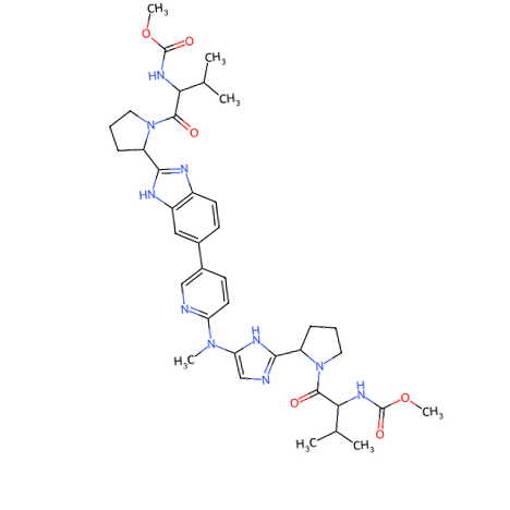 COC(=O)NC(C(=O)N1CCCC1c1ncc(N(C)c2ccc(-c3ccc4nc(C5CCCN5C(=O)C(NC(=O)OC)C(C)C)[nH]c4c3)cn2)[nH]1)C(C)C